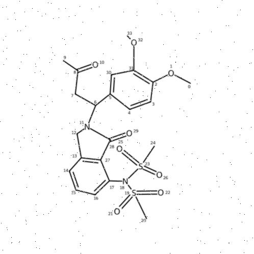 COc1ccc(C(CC(C)=O)N2Cc3cccc(N(S(C)(=O)=O)S(C)(=O)=O)c3C2=O)cc1OC